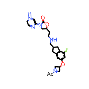 CC(=O)N1CC(Oc2cc(F)c3c(c2)CC(CNCCC2CN(C4=CNCC=N4)C(=O)O2)C3)C1